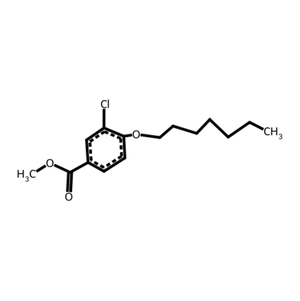 CCCCCCCOc1ccc(C(=O)OC)cc1Cl